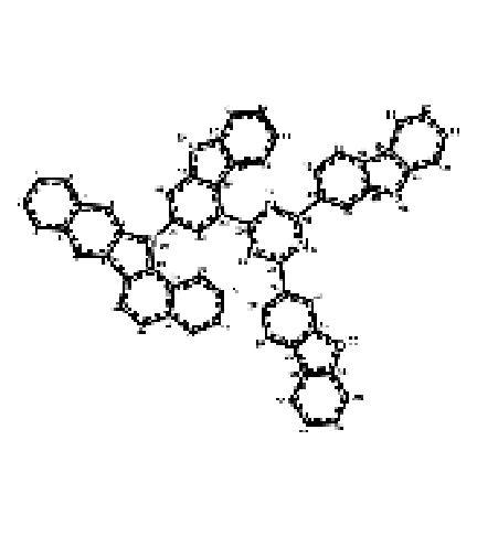 c1ccc2cc3c(cc2c1)c1ccc2ccccc2c1n3-c1cc(-c2nc(-c3ccc4c(c3)oc3ccccc34)nc(-c3ccc4c(c3)sc3ccccc34)n2)c2c(c1)sc1ccccc12